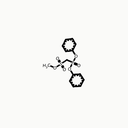 COS(=O)(=O)CP(=O)(Oc1ccccc1)Oc1ccccc1